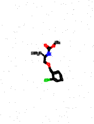 CC(C)(C)OC(=O)N[C@H](COCc1ccccc1Cl)C(=O)O